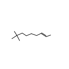 C/C=C/CCCCC(C)(C)C